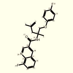 C=C(C)CC(C)(COc1ccc(F)cc1)NC(=O)c1cnc2c(F)cccc2c1